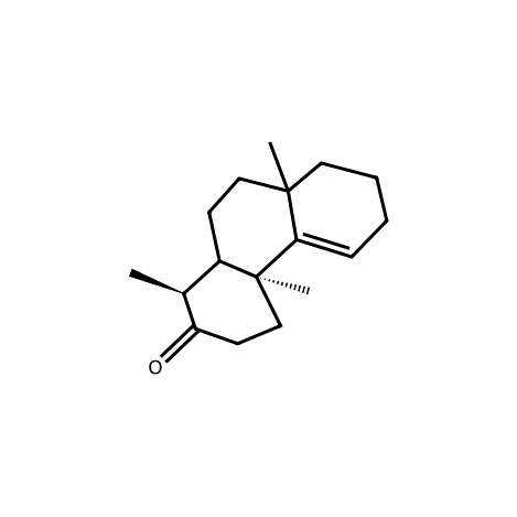 C[C@@H]1C(=O)CC[C@]2(C)C3=CCCCC3(C)CCC12